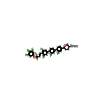 CCCCCC1CCC(c2ccc(-c3ccc(-c4cc(F)c(/C=C/C(F)(F)Oc5cc(F)c(F)c(F)c5)c(F)c4)c(F)c3)c(F)c2)OC1